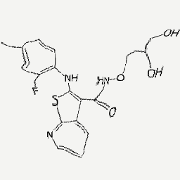 Cc1ccc(Nc2sc3ncccc3c2C(=O)NOCC(O)CO)c(F)c1